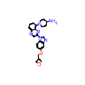 NC1CCN(c2cccc3ncc(-n4cnc5cc(OCC6COC6)ccc54)nc23)CC1